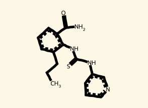 CCCc1cccc(C(N)=O)c1NC(=S)Nc1cccnc1